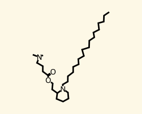 CCCCCCCCCCCCCCCCCCN1CCCCC1CCOC(=O)CCCN(C)C